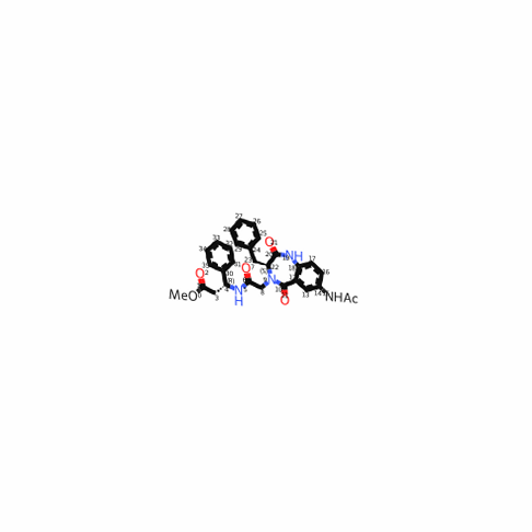 COC(=O)C[C@@H](NC(=O)CN1C(=O)c2cc(NC(C)=O)ccc2NC(=O)[C@@H]1Cc1ccccc1)c1ccccc1